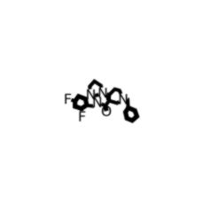 O=C1C2=C(CCN(Cc3ccccc3)C2)N2CCCN=C2N1Cc1ccc(F)cc1F